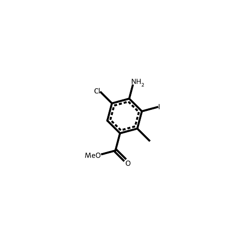 COC(=O)c1cc(Cl)c(N)c(I)c1C